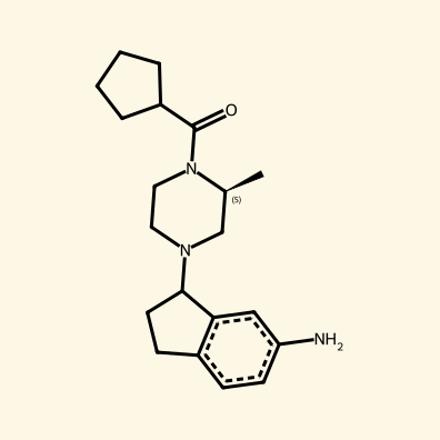 C[C@H]1CN(C2CCc3ccc(N)cc32)CCN1C(=O)C1CCCC1